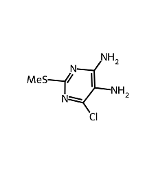 CSc1nc(N)c(N)c(Cl)n1